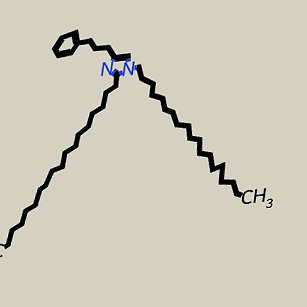 CCCCCCCCCCCCCCCCCCCn1cc(CCCc2ccccc2)nc1CCCCCCCCCCCCCCCCCC